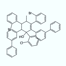 CC1C(c2ccccc2Br)=C(c2cccc(-c3ccccc3)c2)C(O)(c2ccccc2Cl)C(c2cccc(-c3ccccc3)c2)C1c1ccccc1Br